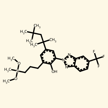 CO[Si](C)(CCCc1cc(C(C)(C)CC(C)(C)C)cc(-n2nc3ccc(C(F)(F)F)cc3n2)c1O)OC